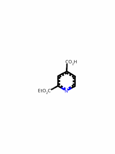 CCOC(=O)c1cc(C(=O)O)ccn1